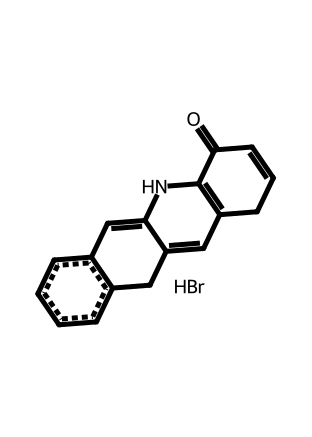 Br.O=C1C=CCC2=C1NC1=Cc3ccccc3CC1=C2